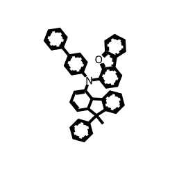 CC1(c2ccccc2)c2ccccc2C2C(N(c3ccc(-c4ccccc4)cc3)c3cccc4c3oc3ccccc34)=CC=CC21